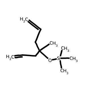 C=CCC(C)(CC=C)O[Si](C)(C)C